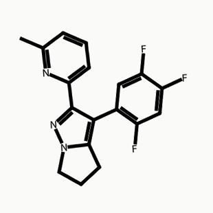 Cc1cccc(-c2nn3c(c2-c2cc(F)c(F)cc2F)CCC3)n1